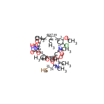 COc1cc2cc(c1Cl)N(C)C(=O)C[C@H](OC(=O)[C@H](C)N(C)C(=O)CCS)[C@@]1(C)O[C@@H]1[C@H](C)C1C[C@@](O)(NC(=O)O1)[C@H](OC)/C=C/C=C(\C)C2